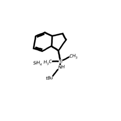 CC(C)(C)[NH][Ti]([CH3])([CH3])[CH]1CCC2C=CC=CC21.[SiH4]